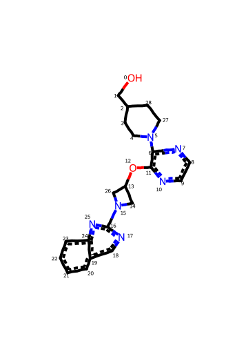 OCC1CCN(c2nccnc2OC2CN(c3ncc4ccccc4n3)C2)CC1